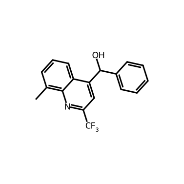 Cc1cccc2c(C(O)c3ccccc3)cc(C(F)(F)F)nc12